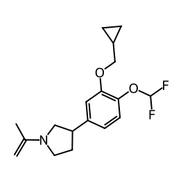 C=C(C)N1CCC(c2ccc(OC(F)F)c(OCC3CC3)c2)C1